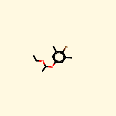 CCOC(C)Oc1cc(C)c(Br)c(C)c1